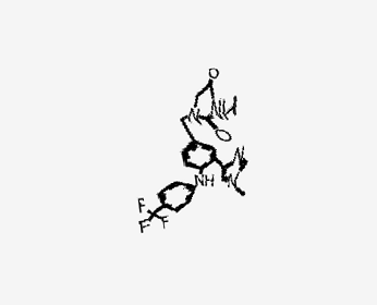 Cn1cnc(-c2cc(CN3CC(=O)NC3=O)ccc2Nc2ccc(C(F)(F)F)cc2)c1